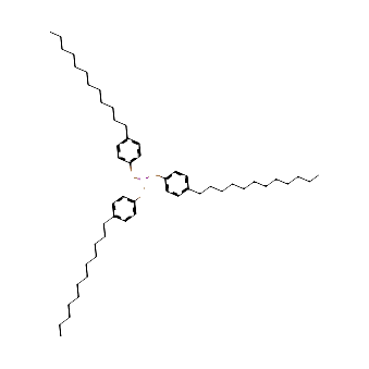 CCCCCCCCCCCCc1ccc(SP(Sc2ccc(CCCCCCCCCCCC)cc2)Sc2ccc(CCCCCCCCCCCC)cc2)cc1